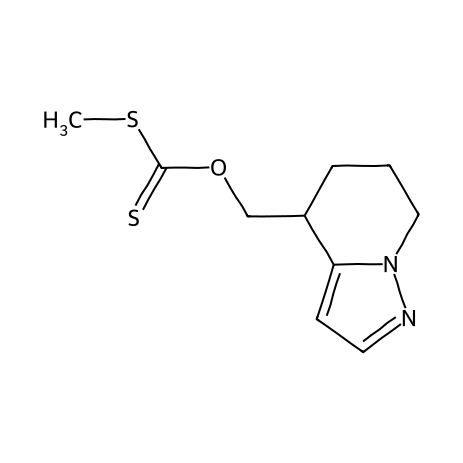 CSC(=S)OCC1CCCn2nccc21